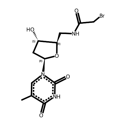 Cc1cn([C@H]2C[C@H](O)[C@@H](CNC(=O)CBr)O2)c(=O)[nH]c1=O